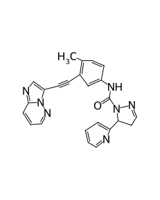 Cc1ccc(NC(=O)N2N=CCC2c2ccccn2)cc1C#Cc1cnc2cccnn12